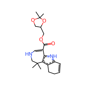 CC1(C)OCC(COC(=O)C2=CNCC(C)(C)c3c2[nH]c2c3CCC=C2)O1